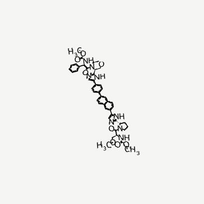 COC[C@H](NC(=O)OC)C(=O)N1CCC[C@H]1c1ncc(-c2ccc3cc(-c4ccc(-c5cnc([C@@H]6COCCN6C(=O)[C@H](NC(=O)OC)c6ccccc6)[nH]5)cc4)ccc3c2)[nH]1